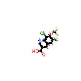 O=C(O)c1cnc2c(Cl)c(OC(F)F)c(Cl)cc2c1